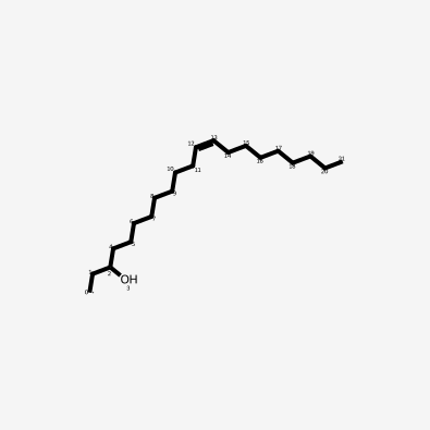 [CH2]CC(O)CCCCCCCC/C=C\CCCCCCCC